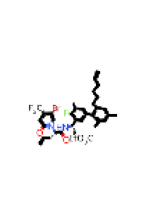 C=CCCCCc1cc(C)cc(C)c1-c1cc(C)c(F)c([C@H](CC(=O)OCC)NC(=O)[C@H](CC=C)n2cc(Br)c(C(F)(F)F)cc2=O)c1